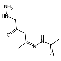 CC(=O)NN=C(C)CC(=O)CNN